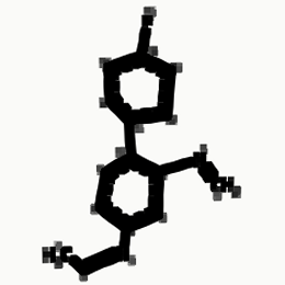 C=Nc1cc(/N=C\C)ccc1-c1ccc(F)cc1